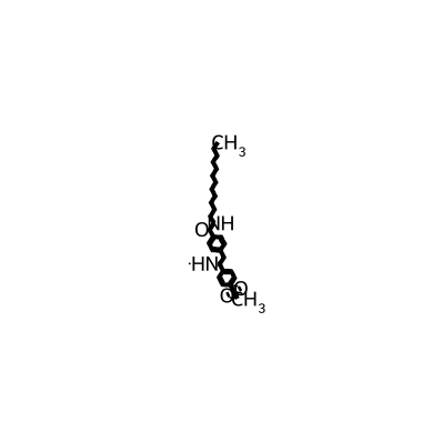 CCCCCCCCCCCCNC(=O)c1ccc(CC([NH])c2ccc(S(C)(=O)=O)cc2)cc1